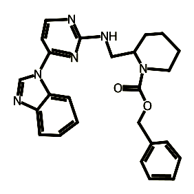 O=C(OCc1ccccc1)N1CCCCC1CNc1nccc(-n2cnc3ccccc32)n1